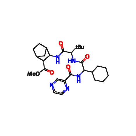 COC(=O)C1C2CCC(C2)C1NC(=O)C(NC(=O)C(NC(=O)c1cnccn1)C1CCCCC1)C(C)(C)C